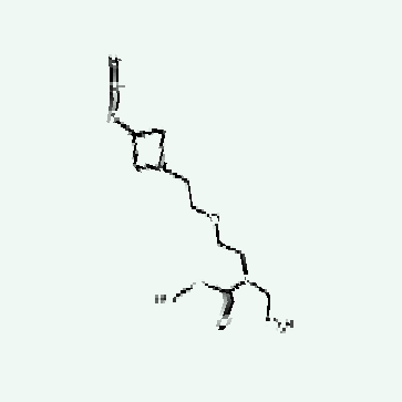 CC(C)(C)OC(=O)N(CCOCCN1CC(N=[N+]=[N-])C1)CC(=O)O